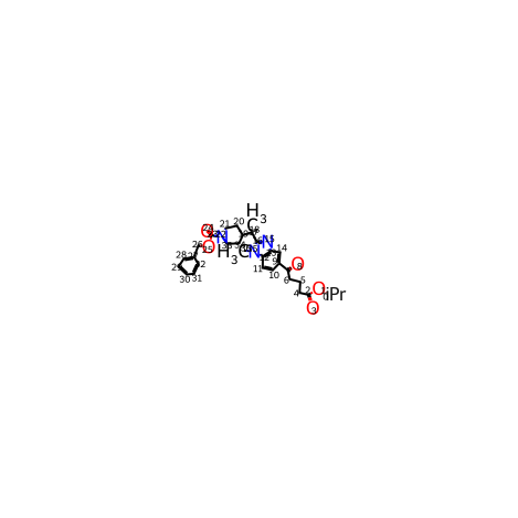 CC(C)OC(=O)CCCC(=O)c1ccc2c(c1)nc(C(C)C1CCN(C(=O)OCc3ccccc3)CC1)n2C